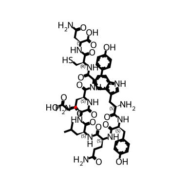 CC(C)C[C@H](NC(=O)[C@H](CCC(N)=O)NC(=O)[C@H](Cc1ccc(O)cc1)NC(=O)[C@@H](N)Cc1c[nH]c2ccccc12)C(=O)N[C@@H](CCC(=O)O)C(=O)N[C@@H](CC(N)=O)C(=O)N[C@@H](Cc1ccc(O)cc1)C(=O)N[C@@H](CS)C(=O)N[C@@H](CC(N)=O)C(=O)O